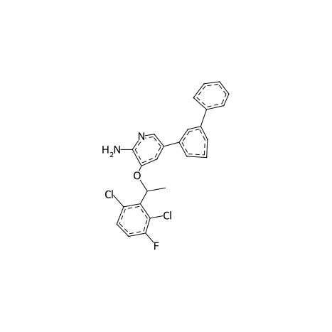 CC(Oc1cc(-c2cccc(-c3ccccc3)c2)cnc1N)c1c(Cl)ccc(F)c1Cl